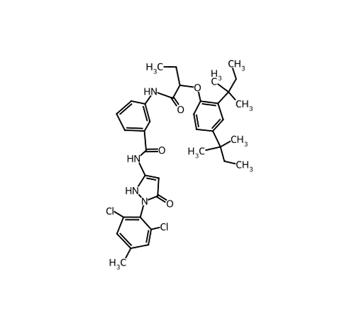 CCC(Oc1ccc(C(C)(C)CC)cc1C(C)(C)CC)C(=O)Nc1cccc(C(=O)Nc2cc(=O)n(-c3c(Cl)cc(C)cc3Cl)[nH]2)c1